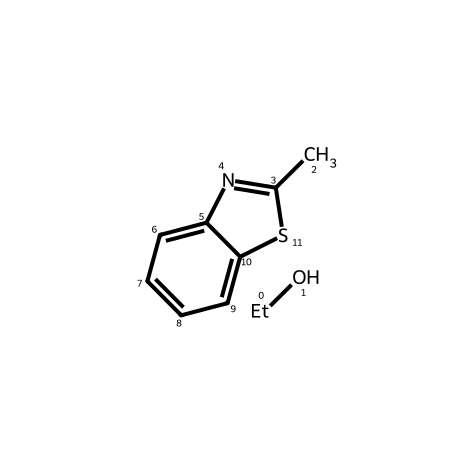 CCO.Cc1nc2ccccc2s1